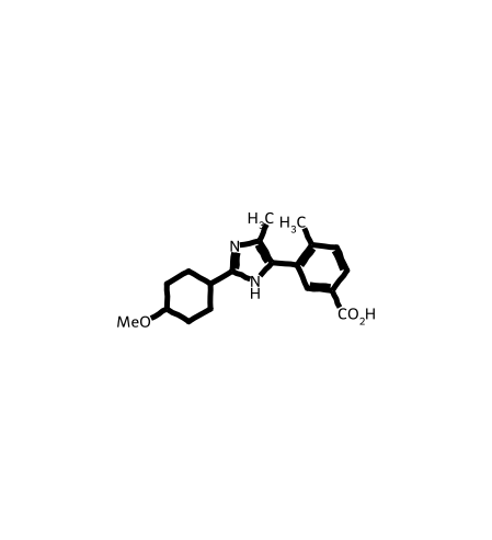 COC1CCC(c2nc(C)c(-c3cc(C(=O)O)ccc3C)[nH]2)CC1